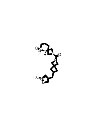 O=C(N1CC2(CC(Cc3cnn(C(F)(F)F)c3)C2)C1)N1CC2(CCCS(=O)(=O)N2)C1